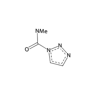 CNC(=O)n1ccnn1